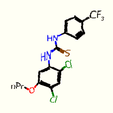 CCCOc1cc(NC(=S)Nc2ccc(C(F)(F)F)cc2)c(Cl)cc1Cl